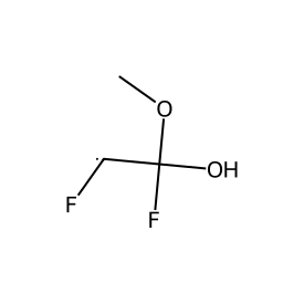 COC(O)(F)[CH]F